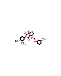 C[C@]12CC[C@](CCOc3cccc(C#N)c3)(O1)[C@@H]1C(=O)N(c3ccc(C#N)c(C(F)(F)F)c3)C(=O)[C@@H]12